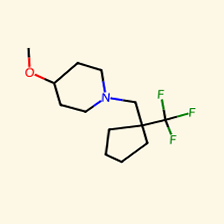 COC1CCN(CC2(C(F)(F)F)CCCC2)CC1